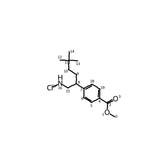 COC(=O)c1ccc(C(CCC(C)(C)C)CNCl)cc1